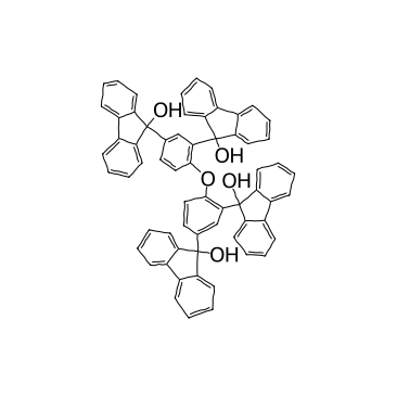 OC1(c2ccc(Oc3ccc(C4(O)c5ccccc5-c5ccccc54)cc3C3(O)c4ccccc4-c4ccccc43)c(C3(O)c4ccccc4-c4ccccc43)c2)c2ccccc2-c2ccccc21